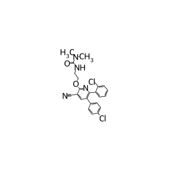 CN(C)C(=O)NCCOc1nc(-c2ccccc2Cl)c(-c2ccc(Cl)cc2)cc1C#N